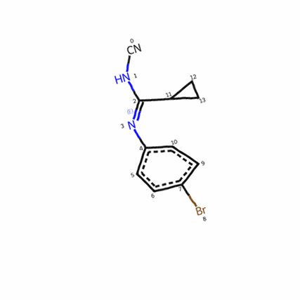 N#CN/C(=N/c1ccc(Br)cc1)C1CC1